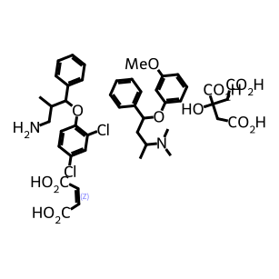 CC(CN)C(Oc1ccc(Cl)cc1Cl)c1ccccc1.COc1cccc(OC(CC(C)N(C)C)c2ccccc2)c1.O=C(O)/C=C\C(=O)O.O=C(O)CC(O)(CC(=O)O)C(=O)O